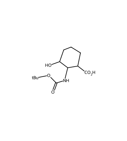 CC(C)(C)OC(=O)NC1C(O)CCCC1C(=O)O